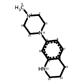 CN1CCN(c2ccc3c(c2)NCCC3)CC1